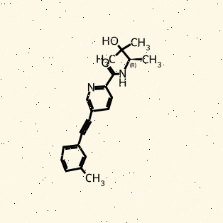 Cc1cccc(C#Cc2ccc(C(=O)N[C@H](C)C(C)(C)O)nc2)c1